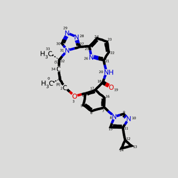 C[C@H]1COc2ccc(-n3cnc(C4CC4)c3)cc2C(=O)Nc2cccc(n2)-c2nncn2[C@@H](C)C1